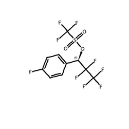 O=S(=O)(O[C@H](c1ccc(F)cc1)C(F)(F)C(F)(F)F)C(F)(F)F